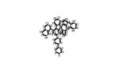 c1ccc(-c2ccc(-c3nc(-c4cccc5ccccc45)c4c(n3)C3(c5ccccc5-4)c4ccccc4-n4c5ccccc5c5cccc3c54)cc2)cc1